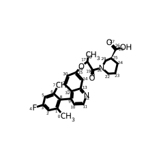 Cc1cc(F)cc(C)c1-c1ccnc2cc(OC(C)C(=O)N3CCC[C@H](C(=O)O)C3)ccc12